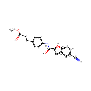 COC(=O)CCc1ccc(NC(=O)c2cc3cc(C#N)ccc3o2)cc1